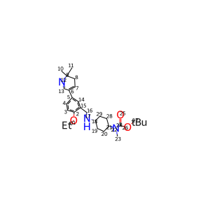 CCOc1ccc(C2=CCC(C)(C)N=C2)cc1CN[C@H]1CC[C@H](N(C)C(=O)OC(C)(C)C)CC1